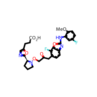 COc1ccc(F)cc1Nc1nc2ccc(CC(=O)CON3CCC[C@H]3c3ncc(CCC(=O)O)o3)c(F)c2o1